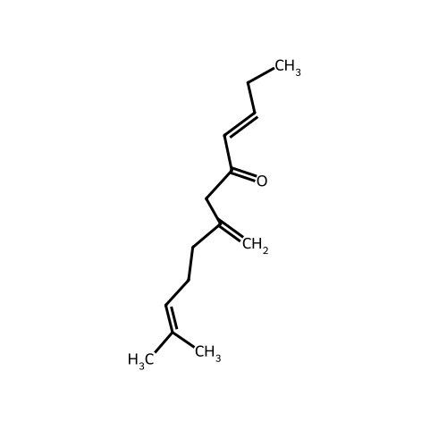 C=C(CCC=C(C)C)CC(=O)/C=C/CC